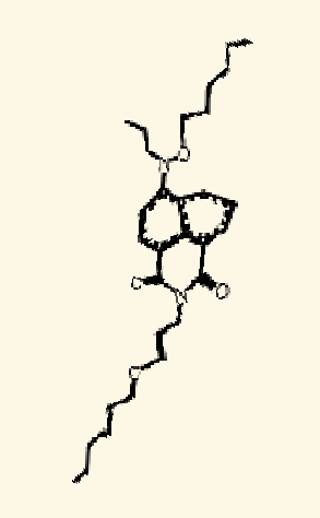 CCCCCCOCCCN1C(=O)c2cccc3c(N(CCC)OCCCCCC)ccc(c23)C1=O